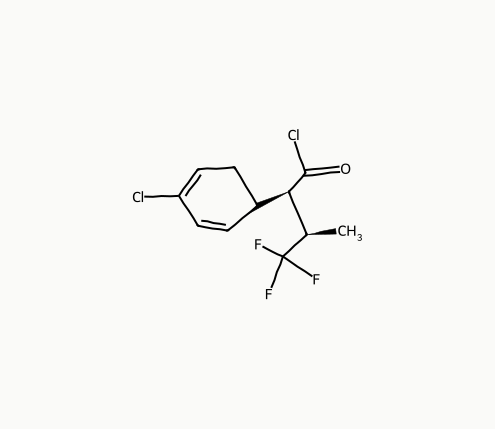 C[C@H]([C@H](C(=O)Cl)C1C=CC(Cl)=CC1)C(F)(F)F